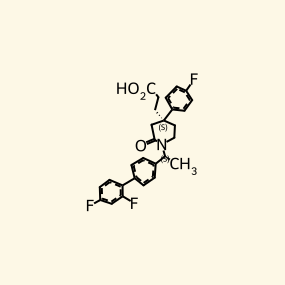 C[C@@H](c1ccc(-c2ccc(F)cc2F)cc1)N1CC[C@](CCC(=O)O)(c2ccc(F)cc2)CC1=O